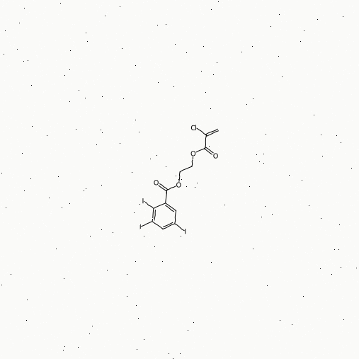 C=C(Cl)C(=O)OCCOC(=O)c1cc(I)cc(I)c1I